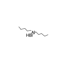 Br.CCCC[CH2][Al][CH2]CCCC